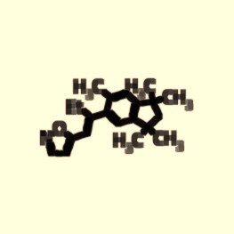 CCC(=Cc1ccno1)c1cc2c(cc1C)C(C)(C)CC2(C)C